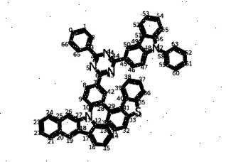 c1ccc(-c2nc(-c3ccc(-n4c5ccccc5c5cc6ccccc6cc54)c(-c4cccc5sc6ccccc6c45)c3)nc(-c3ccc4c(c3)c3ccccc3n4-c3ccccc3)n2)cc1